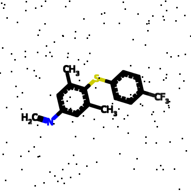 C=Nc1cc(C)c(Sc2ccc(C(F)(F)F)cc2)c(C)c1